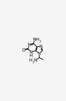 CC(N)n1cnc2c(N)nc(=O)[nH]c21